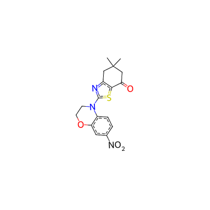 CC1(C)CC(=O)c2sc(N3CCOc4cc([N+](=O)[O-])ccc43)nc2C1